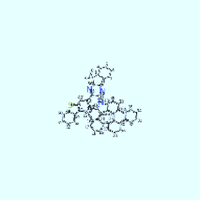 CC1(C)c2ccccc2-c2nc(-n3c4ccc5ccccc5c4c4c5c6ccccc6c6ccccc6c5ccc43)c(-c3ccc4c(c3)sc3ccccc34)nc21